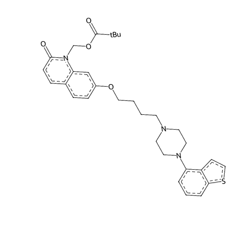 CC(C)(C)C(=O)OCn1c(=O)ccc2ccc(OCCCCN3CCN(c4cccc5sccc45)CC3)cc21